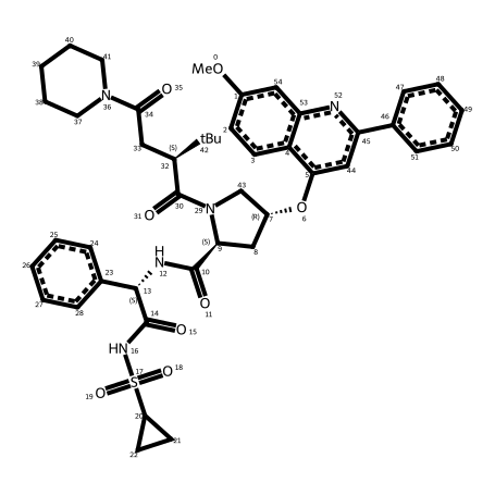 COc1ccc2c(O[C@@H]3C[C@@H](C(=O)N[C@H](C(=O)NS(=O)(=O)C4CC4)c4ccccc4)N(C(=O)[C@@H](CC(=O)N4CCCCC4)C(C)(C)C)C3)cc(-c3ccccc3)nc2c1